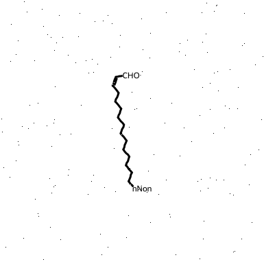 CCCCCCCCCCCCCCCCCCCCC/C=C\[C]=O